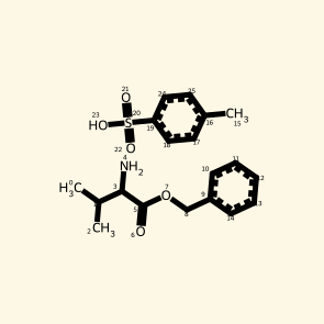 CC(C)C(N)C(=O)OCc1ccccc1.Cc1ccc(S(=O)(=O)O)cc1